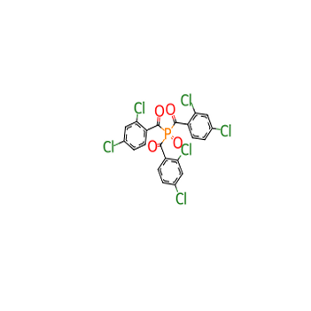 O=C(c1ccc(Cl)cc1Cl)P(=O)(C(=O)c1ccc(Cl)cc1Cl)C(=O)c1ccc(Cl)cc1Cl